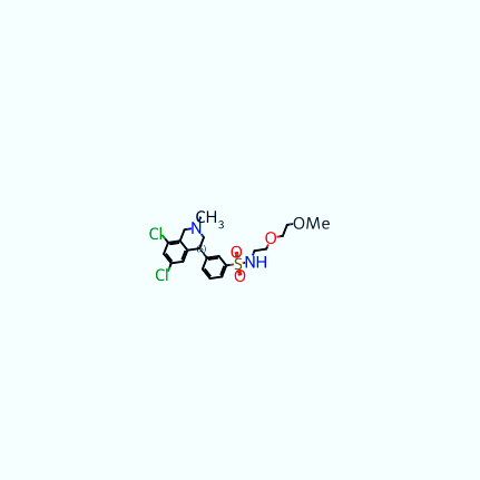 COCCOCCNS(=O)(=O)c1cccc([C@@H]2CN(C)Cc3c(Cl)cc(Cl)cc32)c1